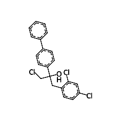 OC(CCl)(Cc1ccc(Cl)cc1Cl)c1ccc(-c2ccccc2)cc1